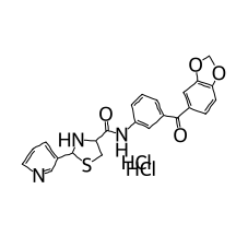 Cl.Cl.O=C(c1cccc(NC(=O)C2CSC(c3cccnc3)N2)c1)c1ccc2c(c1)OCO2